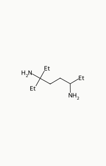 CCC(N)CCC(N)(CC)CC